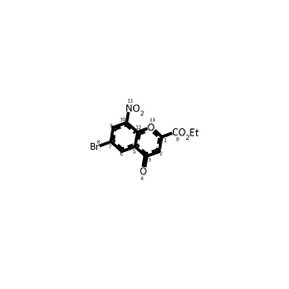 CCOC(=O)c1cc(=O)c2cc(Br)cc([N+](=O)[O-])c2o1